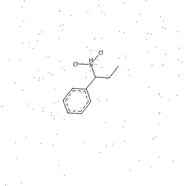 CCC(c1ccccc1)[SiH](Cl)Cl